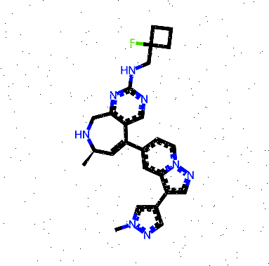 C[C@@H]1C=C(c2ccn3ncc(-c4cnn(C)c4)c3c2)c2cnc(NCC3(F)CCC3)nc2CN1